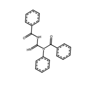 N=C(NC(=O)c1ccccc1)N(C(=O)c1ccccc1)c1ccccc1